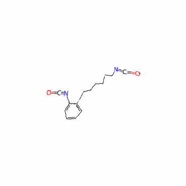 O=C=NCCCCCCc1ccccc1N=C=O